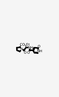 CCOC(=O)[C@@H]1CCCN1C(=O)[C@H](C)NC(=O)c1cc[nH]c(=O)c1